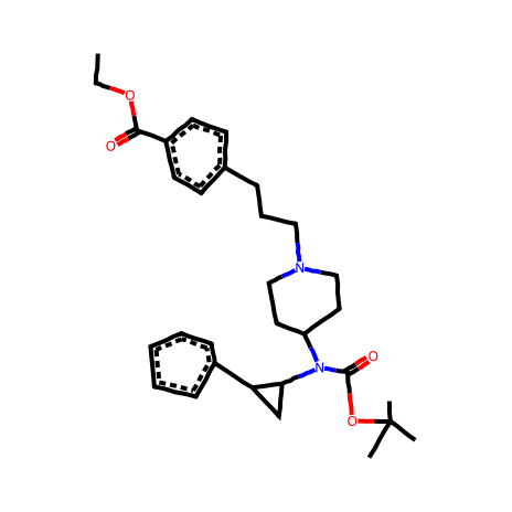 CCOC(=O)c1ccc(CCCN2CCC(N(C(=O)OC(C)(C)C)C3CC3c3ccccc3)CC2)cc1